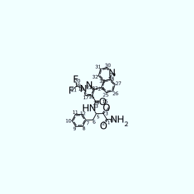 NC(=O)C(=O)C(Cc1ccccc1)NC(=O)c1cn(C(F)F)nc1-c1cccc2ncccc12